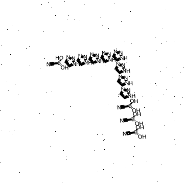 N#CB(O)O.N#CB(O)O.N#CB(O)O.N#CB(O)O.c1c[nH]nn1.c1c[nH]nn1.c1c[nH]nn1.c1c[nH]nn1.c1c[nH]nn1.c1c[nH]nn1.c1c[nH]nn1.c1c[nH]nn1